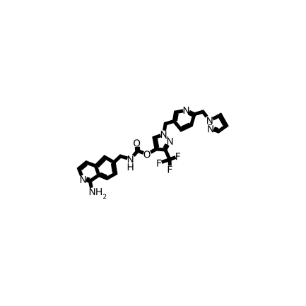 Nc1nccc2cc(CNC(=O)Oc3cn(Cc4ccc(Cn5cccn5)nc4)nc3C(F)(F)F)ccc12